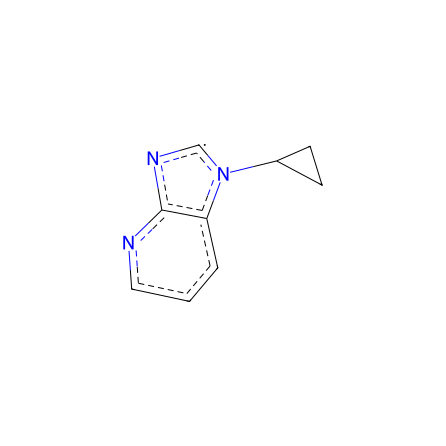 [c]1nc2ncccc2n1C1CC1